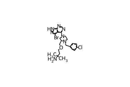 CC(C)(N)CCOCC1CN(c2ncnc3[nH]nc(Br)c23)CCN1Cc1ccc(Cl)cc1